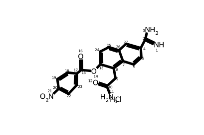 Cl.N=C(N)c1ccc2c(CC(N)=O)c(OC(=O)c3ccc([N+](=O)[O-])cc3)ccc2c1